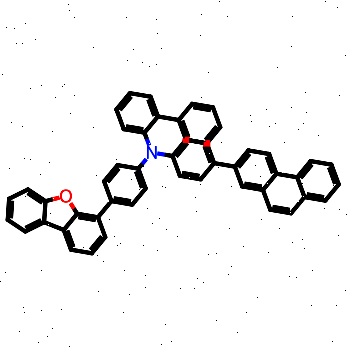 c1ccc(-c2ccccc2N(c2ccc(-c3ccc4c(ccc5ccccc54)c3)cc2)c2ccc(-c3cccc4c3oc3ccccc34)cc2)cc1